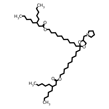 CCCCCC(CCCCC)CC(=O)OCCCCCCCCCCC1(CCCCCCCCCCOC(=O)CC(CCCCC)CCCCC)OCC(CN2CCCC2)O1